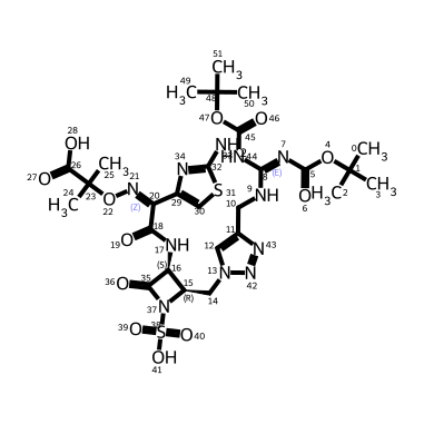 CC(C)(C)OC(=O)/N=C(\NCc1cn(C[C@@H]2[C@H](NC(=O)/C(=N\OC(C)(C)C(=O)O)c3csc(N)n3)C(=O)N2S(=O)(=O)O)nn1)NC(=O)OC(C)(C)C